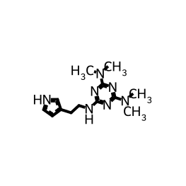 CN(C)c1nc(NCCc2cc[nH]c2)nc(N(C)C)n1